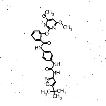 COc1cc(OC)nc(Oc2ccccc2C(=O)Nc2ccc(NC(=O)Nc3cc(C(C)(C)C)on3)cc2)n1